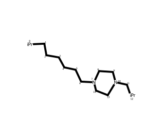 CC(C)CCCCCCN1CCN(CC(C)C)CC1